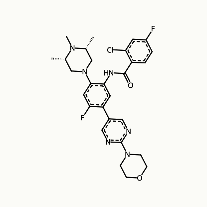 C[C@@H]1CN(c2cc(F)c(-c3cnc(N4CCOCC4)nc3)cc2NC(=O)c2ccc(F)cc2Cl)C[C@H](C)N1C